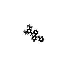 FC(F)(F)c1cc(COC2CCCN(Cc3ccccn3)C2c2ccccc2)cc(C(F)(F)F)c1